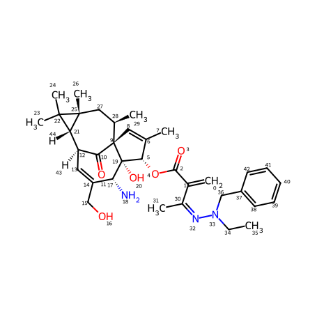 C=C(C(=O)O[C@H]1C(C)=C[C@]23C(=O)[C@@H](C=C(CO)[C@@H](N)[C@]12O)[C@@H]1C(C)(C)[C@]1(C)C[C@H]3C)/C(C)=N\N(CC)Cc1ccccc1